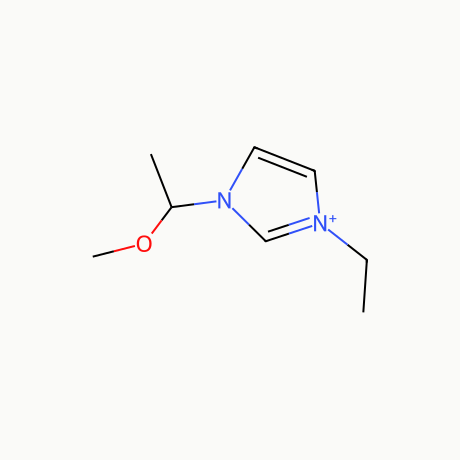 CC[n+]1ccn(C(C)OC)c1